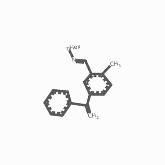 C=C(c1ccccc1)c1ccc(C)c(C=NCCCCCC)c1